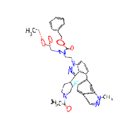 CCOC(=O)CN(CCn1nc(C2CCN(C(C)=O)CC2)c2c(-c3cc4c(cnn4C)cc3F)cccc21)C(=O)OCc1ccccc1